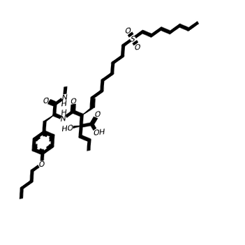 CCCCCCCS(=O)(=O)CCCCCCC=C[C@H](C(=O)N[C@@H](Cc1ccc(OCCCC)cc1)C(=O)NC)[C@@](O)(CCC)C(=O)O